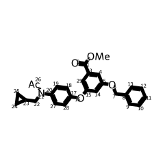 COC(=O)c1cc(OCc2ccccc2)cc(Oc2ccc(N(CC3CC3)C(C)=O)cc2)c1